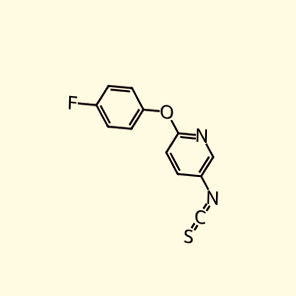 Fc1ccc(Oc2ccc(N=C=S)cn2)cc1